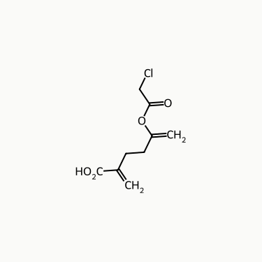 C=C(CCC(=C)C(=O)O)OC(=O)CCl